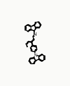 C\C=C/C(=C\C=N\C1c2ccccc2-c2ccccc21)c1ccc(-n2c3ccccc3c3ccccc32)cc1